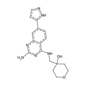 Nc1nc(NCC2(O)CCOCC2)c2ccc(-c3ccn[nH]3)cc2n1